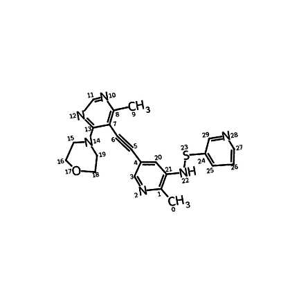 Cc1ncc(C#Cc2c(C)ncnc2N2CCOCC2)cc1NSc1cccnc1